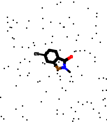 [C-]#[N+]c1ccc2c(=O)n(C)sc2c1